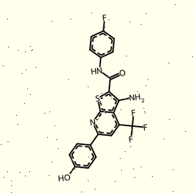 Nc1c(C(=O)Nc2ccc(F)cc2)sc2nc(-c3ccc(O)cc3)cc(C(F)(F)F)c12